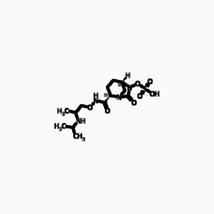 CC(C)NC(C)CONC(=O)[C@@H]1CC[C@@H]2CN1C(=O)N2OS(=O)(=O)O